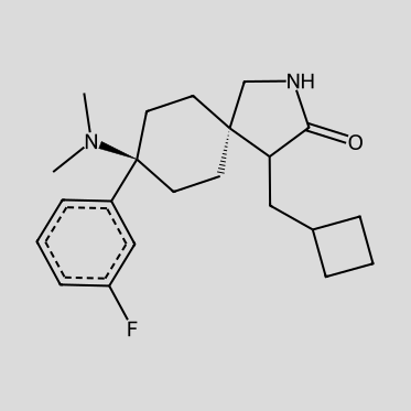 CN(C)[C@]1(c2cccc(F)c2)CC[C@]2(CC1)CNC(=O)C2CC1CCC1